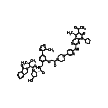 CC(=O)c1c(C)c2cnc(Nc3ccc(N4CCN(C(=O)COc5cc(-c6scnc6C)ccc5CNC(=O)[C@@H]5C[C@@H](O)CN5C(=O)C(C(C)C)N5Cc6ccccc6C5=O)CC4)cn3)nc2n(C2CCCC2)c1=O